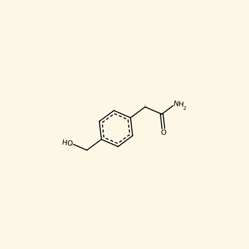 NC(=O)[CH]c1ccc(CO)cc1